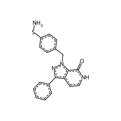 NSc1ccc(Cn2nc(-c3ccccc3)c3cc[nH]c(=O)c32)cc1